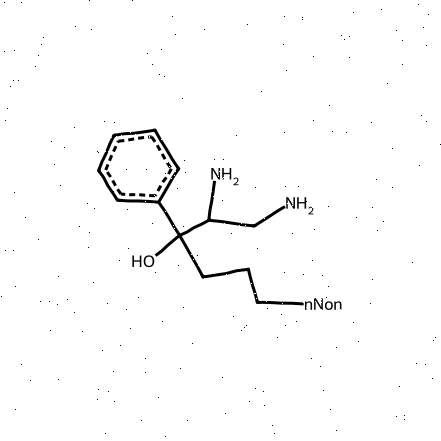 CCCCCCCCCCCCC(O)(c1ccccc1)C(N)CN